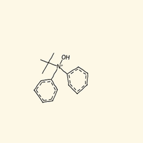 CC(C)(C)[N+](O)(c1ccccc1)c1ccccc1